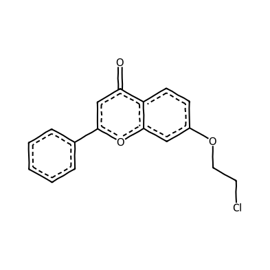 O=c1cc(-c2ccccc2)oc2cc(OCCCl)ccc12